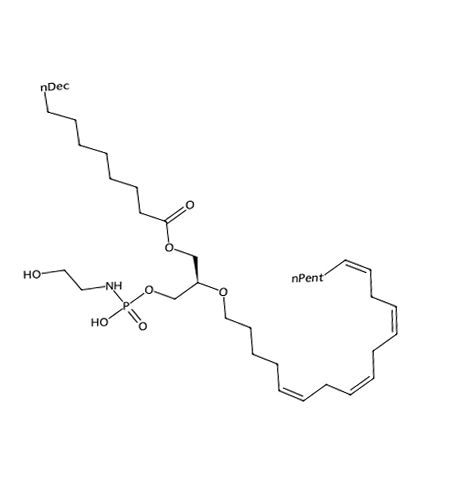 CCCCC/C=C\C/C=C\C/C=C\C/C=C\CCCCO[C@H](COC(=O)CCCCCCCCCCCCCCCCC)COP(=O)(O)NCCO